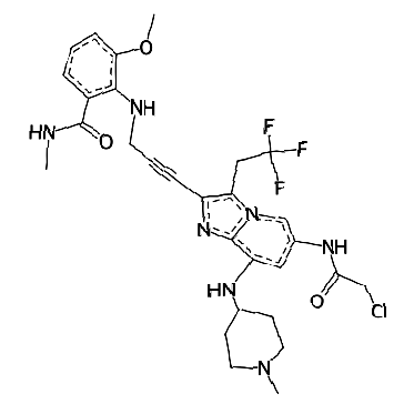 CNC(=O)c1cccc(OC)c1NCC#Cc1nc2c(NC3CCN(C)CC3)cc(NC(=O)CCl)cn2c1CC(F)(F)F